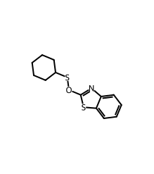 c1ccc2sc(OSC3CCCCC3)nc2c1